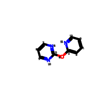 c1ccc(Oc2ncccn2)nc1